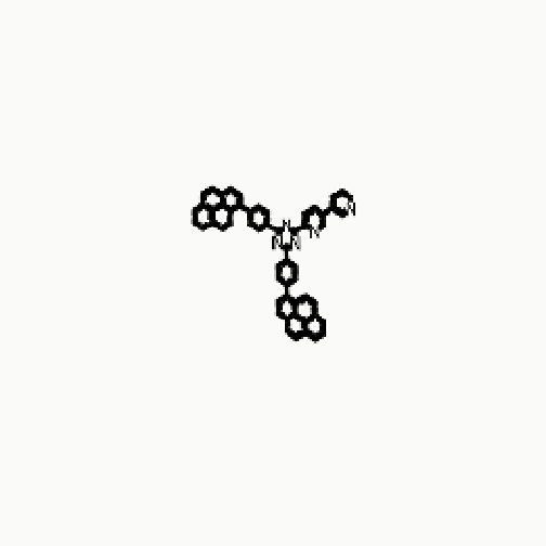 c1cncc(-c2ccc(-c3nc(-c4ccc(-c5ccc6ccc7cccc8ccc5c6c78)cc4)nc(-c4ccc(-c5ccc6ccc7cccc8ccc5c6c78)cc4)n3)nc2)c1